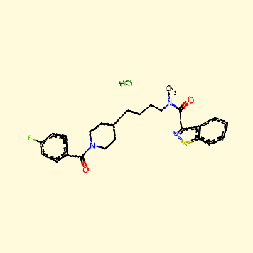 CN(CCCCC1CCN(C(=O)c2ccc(F)cc2)CC1)C(=O)c1nsc2ccccc12.Cl